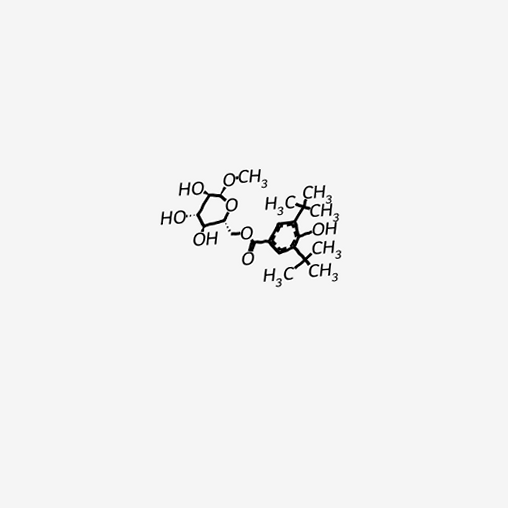 CO[C@H]1O[C@H](COC(=O)c2cc(C(C)(C)C)c(O)c(C(C)(C)C)c2)[C@@H](O)[C@H](O)[C@H]1O